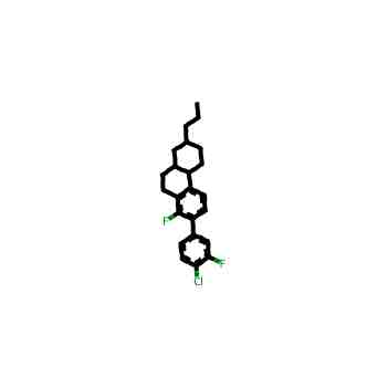 CCCC1CCC2c3ccc(-c4ccc(Cl)c(F)c4)c(F)c3CCC2C1